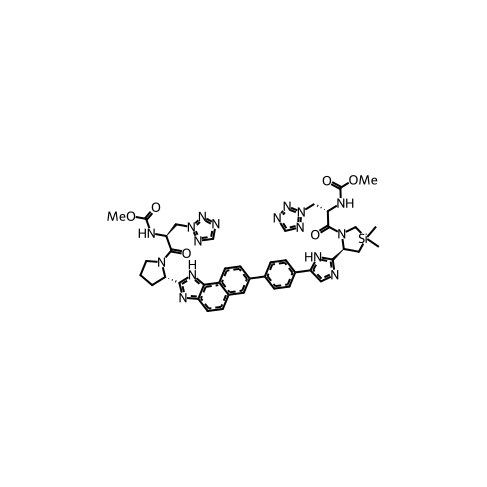 COC(=O)N[C@@H](Cn1ncnn1)C(=O)N1C[Si](C)(C)C[C@H]1c1ncc(-c2ccc(-c3ccc4c(ccc5nc([C@@H]6CCCN6C(=O)[C@H](Cn6ncnn6)NC(=O)OC)[nH]c54)c3)cc2)[nH]1